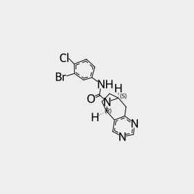 O=C(Nc1ccc(Cl)c(Br)c1)N1[C@H]2CC[C@@H]1c1cncnc1C2